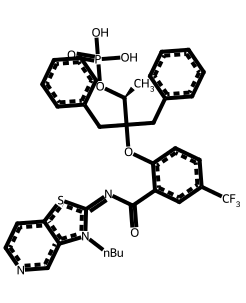 CCCCn1c(=NC(=O)c2cc(C(F)(F)F)ccc2OC(Cc2ccccc2)(Cc2ccccc2)[C@H](C)OP(=O)(O)O)sc2ccncc21